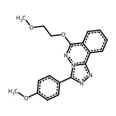 COCCOc1nn2c(-c3ccc(OC)cc3)nnc2c2ccccc12